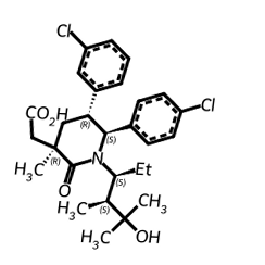 CC[C@@H]([C@H](C)C(C)(C)O)N1C(=O)[C@@](C)(CC(=O)O)C[C@H](c2cccc(Cl)c2)[C@H]1c1ccc(Cl)cc1